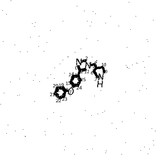 C1=NCN(CC2CCNCC2)C=C1c1ccc(Oc2ccccc2)cc1